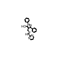 Oc1c(/C=N/Nc2ncccn2)c(-c2ccccc2)nn1-c1ccccc1